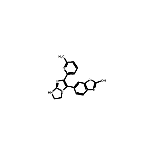 Cc1cccc(-c2nc3n(c2-c2ccc4nc(O)sc4c2)CCN3)n1